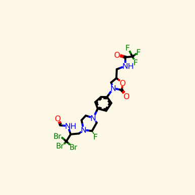 O=CNC(CN1CCN(c2ccc(N3CC(CNC(=O)C(F)(F)F)OC3=O)cc2)C[C@@H]1F)C(Br)(Br)Br